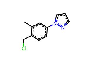 Cc1cc(-n2cccn2)ccc1CCl